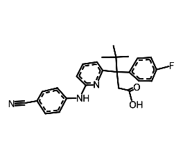 CC(C)(C)C(CC(=O)O)(c1ccc(F)cc1)c1cccc(Nc2ccc(C#N)cc2)n1